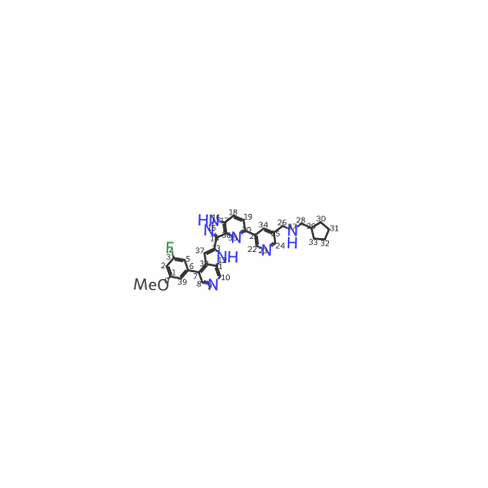 COc1cc(F)cc(-c2cncc3[nH]c(-c4n[nH]c5ccc(-c6cncc(CNCC7CCCC7)c6)nc45)cc23)c1